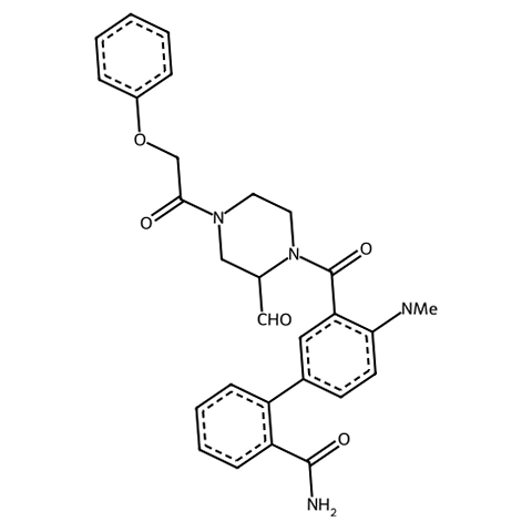 CNc1ccc(-c2ccccc2C(N)=O)cc1C(=O)N1CCN(C(=O)COc2ccccc2)CC1C=O